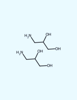 NCC(O)CO.NCC(O)CO